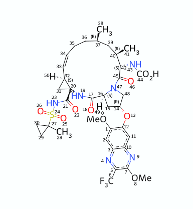 COc1cc2nc(C(F)(F)F)c(OC)nc2cc1O[C@@H]1C[C@H]2C(=O)N[C@]3(C(=O)NS(=O)(=O)C4(C)CC4)C[C@H]3C=CCC[C@@H](C)C[C@@H](C)[C@H](NC(=O)O)C(=O)N2C1